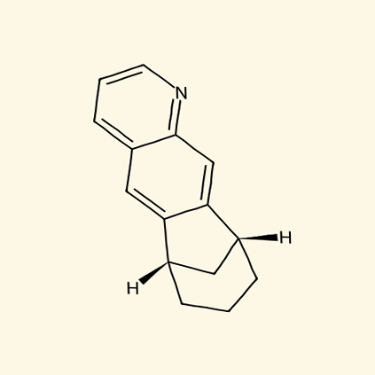 c1cnc2cc3c(cc2c1)[C@H]1CCC[C@@H]3C1